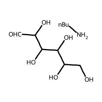 CCCCN.O=CC(O)C(O)C(O)C(O)CO